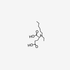 CCCCCCN(CC)C(CCC(=O)O)C(=O)O